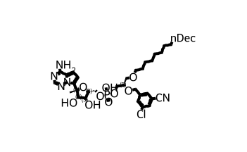 CCCCCCCCCCCCCCCCCCOC[C@H](COP(=O)(O)OC[C@H]1O[C@@](C)(c2ccc3c(N)ncnn23)[C@H](O)[C@@H]1O)OCc1cc(Cl)cc(C#N)c1